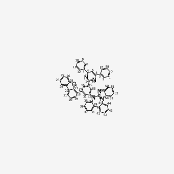 c1ccc(-c2cc(-c3ccccc3)nc(-c3cc(-c4cccc5c4oc4ccccc45)cc(N4c5ccccc5-c5ccccc5-n5c4nc4ccccc45)c3)n2)cc1